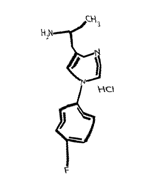 CC(N)c1cn(-c2ccc(F)cc2)cn1.Cl